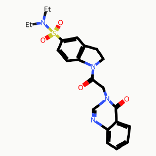 CCN(CC)S(=O)(=O)c1ccc2c(c1)CCN2C(=O)Cn1cnc2ccccc2c1=O